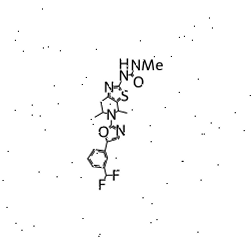 CNC(=O)Nc1nc2c(s1)C(C)N(c1ncc(-c3cccc(C(F)F)c3)o1)C(C)C2